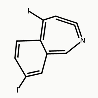 IC1=c2ccc(I)cc2=CN=C=C1